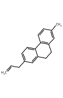 C=CCc1ccc2c(c1)CCc1cc(C)ccc1-2